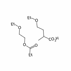 CCOCCC(C)C(=O)O.CCOCCOC(=O)CC